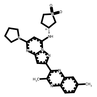 Cc1ccc2nc(C)c(-c3cc4nc(N5CCCC5)cc(N[C@@H]5CCS(=O)(=O)C5)n4n3)nc2c1